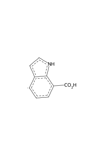 O=C(O)c1cc[c]c2cc[nH]c12